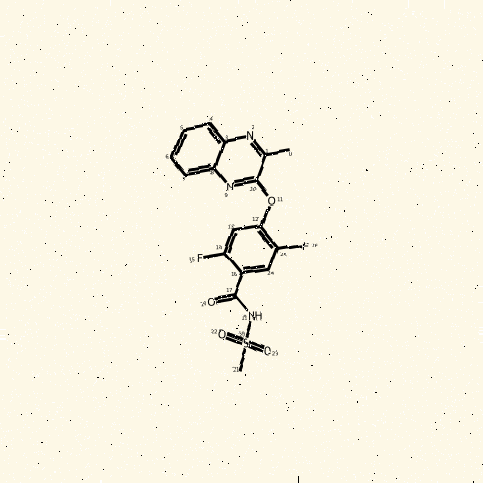 Cc1nc2ccccc2nc1Oc1cc(F)c(C(=O)NS(C)(=O)=O)cc1F